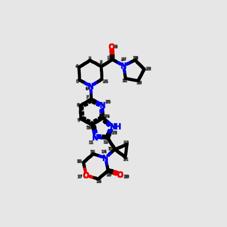 O=C(C1CCCN(c2ccc3nc(C4(N5CCOCC5=O)CC4)[nH]c3n2)C1)N1CCCC1